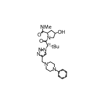 CNC(=O)C1CC(O)CN1C(=O)[C@@H](n1cc(CN2CCN(c3ccccc3)CC2)nn1)C(C)(C)C